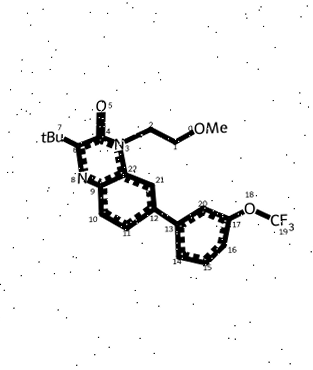 COCCn1c(=O)c(C(C)(C)C)nc2ccc(-c3cccc(OC(F)(F)F)c3)cc21